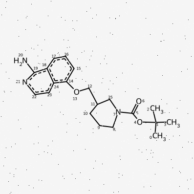 CC(C)(C)OC(=O)N1CCCC(COc2cccc3c(N)nccc23)C1